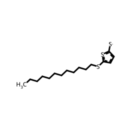 CCCCCCCCCCCCSc1ccc([S])s1